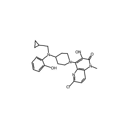 Cn1c(=O)c(N=O)c(N2CCC(N(CC3CC3)c3ccccc3O)CC2)c2nc(Cl)ccc21